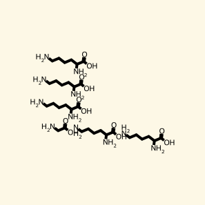 NCC(=O)O.NCCCCC(N)C(=O)O.NCCCCC(N)C(=O)O.NCCCCC(N)C(=O)O.NCCCCC(N)C(=O)O.NCCCCC(N)C(=O)O